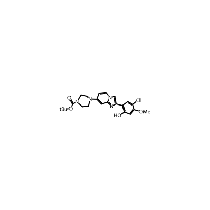 COc1cc(O)c(-c2cn3ccc(N4CCN(C(=O)OC(C)(C)C)CC4)cc3n2)cc1Cl